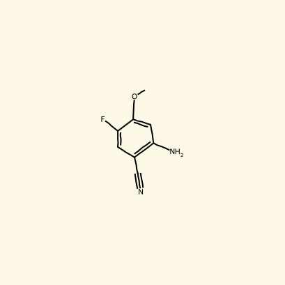 COc1cc(N)c(C#N)cc1F